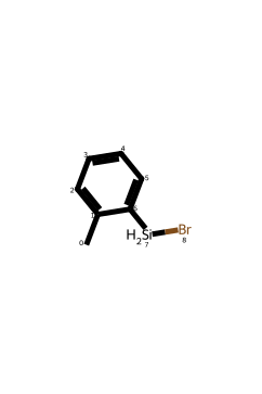 Cc1ccccc1[SiH2]Br